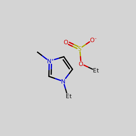 CCOS(=O)[O-].CCn1cc[n+](C)c1